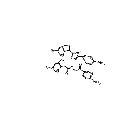 Nc1ccc(-c2cnc(C3CCc4cc(Br)cnc43)[nH]2)cn1.Nc1ccc(C(=O)COC(=O)C2CCc3cc(Br)cnc32)cn1